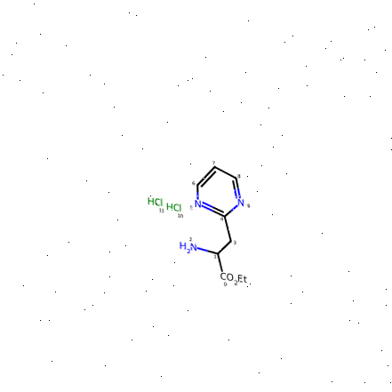 CCOC(=O)C(N)Cc1ncccn1.Cl.Cl